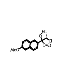 CCOC(OCC)(c1ccc2cc(OC)ccc2c1)[C@H](C)Cl